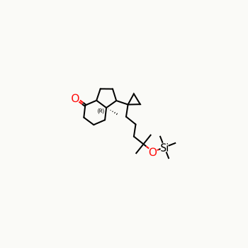 CC(C)(CCCC1(C2CCC3C(=O)CCC[C@@]32C)CC1)O[Si](C)(C)C